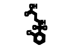 O=C(O)CCNS(=O)(=O)c1ccccc1Cl